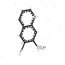 O=C(O)c1cc2ncccc2cc1F